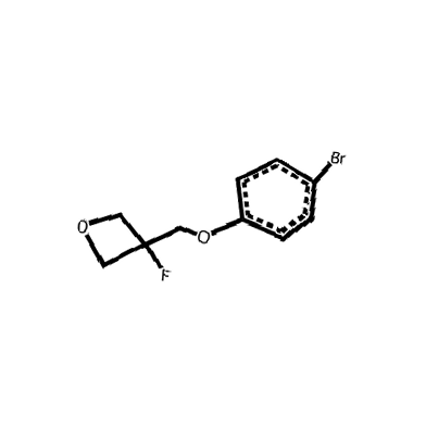 FC1(COc2ccc(Br)cc2)COC1